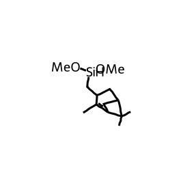 CO[SiH](CC1CC2CC(=C1C)C2(C)C)OC